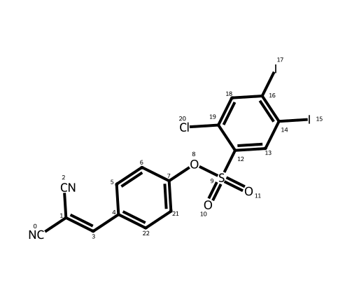 N#CC(C#N)=Cc1ccc(OS(=O)(=O)c2cc(I)c(I)cc2Cl)cc1